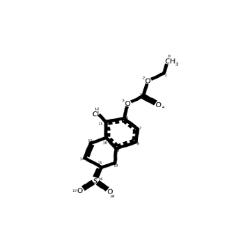 CCOC(=O)Oc1ccc2c(c1Cl)C=CC(=S(=O)=O)C2